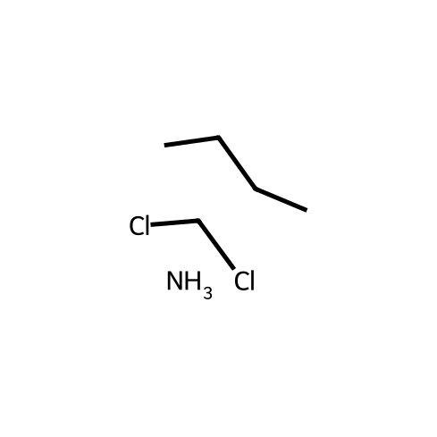 CCCC.ClCCl.N